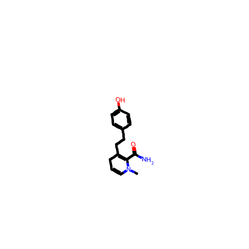 CN1C=CCC(CCc2ccc(O)cc2)=C1C(N)=O